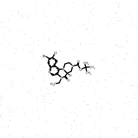 CCN1C(=O)[C@H]2CN(C(=O)OC(C)(C)C)CCN2c2c1cnc1cc(Br)c(Cl)cc21